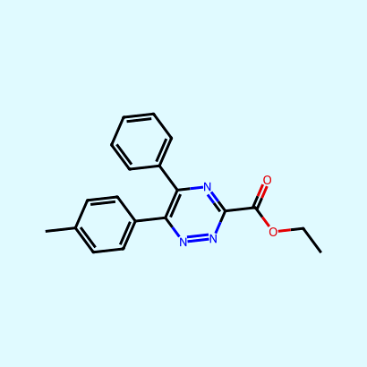 CCOC(=O)c1nnc(-c2ccc(C)cc2)c(-c2ccccc2)n1